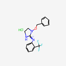 Cl.FC(F)(F)c1ccccc1/N=C1\NCCN1OCc1ccccc1